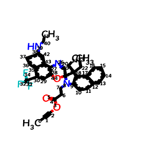 CC#COC(=O)CCN1c2ccc3ccccc3c2C(CC)(CC)C12C=Nc1c(cc(C(F)(F)F)c3ccc(NCC)cc13)O2